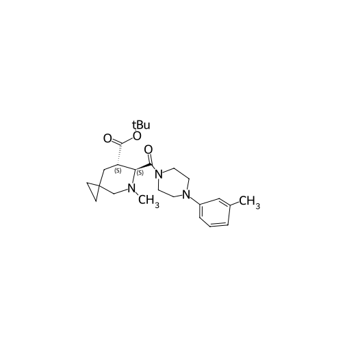 Cc1cccc(N2CCN(C(=O)[C@@H]3[C@@H](C(=O)OC(C)(C)C)CC4(CC4)CN3C)CC2)c1